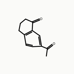 CC(=O)c1ccc2c(c1)C(=O)CCC2